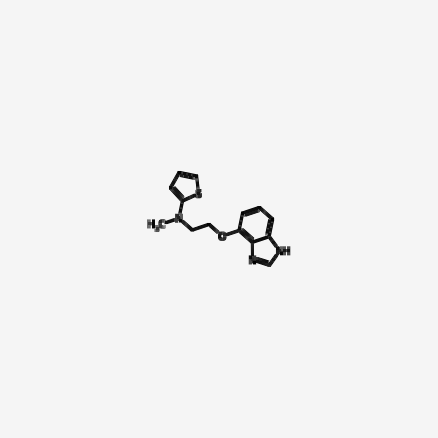 CN(CCOc1cccc2[nH]cnc12)c1cccs1